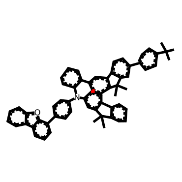 CC(C)(C)c1ccc(-c2ccc3c(c2)C(C)(C)c2ccc(-c4ccccc4N(c4ccc(-c5cccc6c5oc5ccccc56)cc4)c4ccc5c(c4)C(C)(C)c4ccccc4-5)cc2-3)cc1